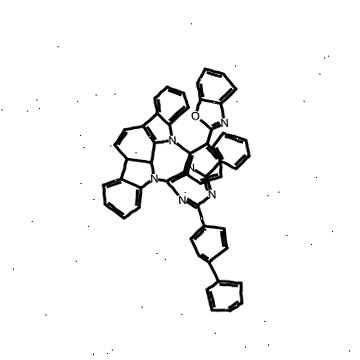 C1=CC2c3ccccc3N(c3nc(-c4ccccc4)nc(-c4ccc(-c5ccccc5)cc4)n3)C2c2c1c1ccccc1n2-c1ccccc1-c1nc2ccccc2o1